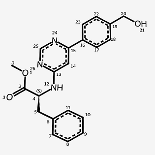 COC(=O)[C@H](Cc1ccccc1)Nc1cc(-c2ccc(CO)cc2)ncn1